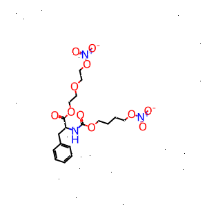 O=C(NC(Cc1ccccc1)C(=O)OCCOCCO[N+](=O)[O-])OCCCCO[N+](=O)[O-]